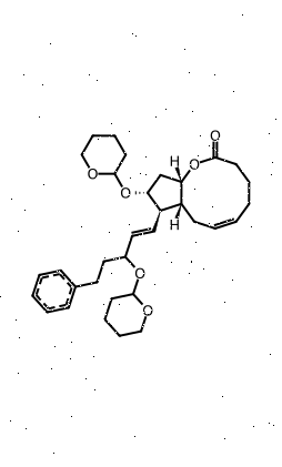 O=C1CCCC=CC[C@@H]2[C@@H](C=CC(CCc3ccccc3)OC3CCCCO3)[C@H](OC3CCCCO3)C[C@@H]2O1